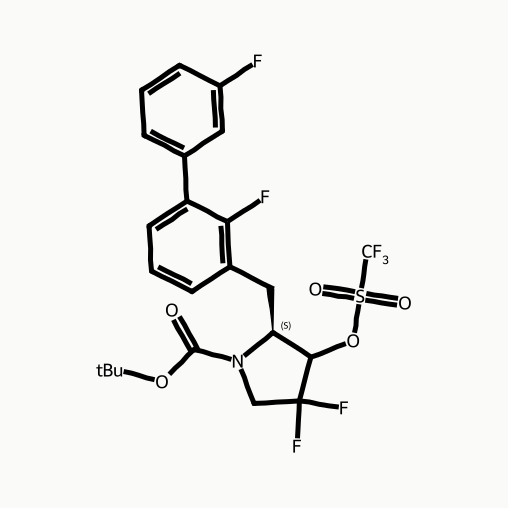 CC(C)(C)OC(=O)N1CC(F)(F)C(OS(=O)(=O)C(F)(F)F)[C@@H]1Cc1cccc(-c2cccc(F)c2)c1F